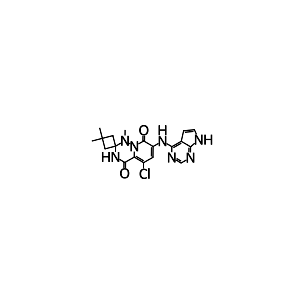 CN1n2c(c(Cl)cc(Nc3ncnc4[nH]ccc34)c2=O)C(=O)NC12CC(C)(C)C2